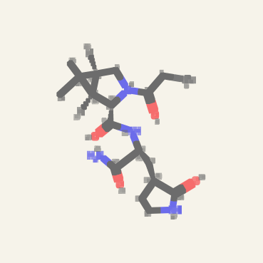 CC(C)(C)CC(=O)N1C[C@H]2[C@@H]([C@H]1C(=O)N[C@@H](C[C@@H]1CCNC1=O)C(N)=O)C2(C)C